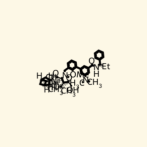 CC[C@@H](NC(=O)c1cc(-c2cccc(CN3O[C@@H](CO)[C@@H]([C@H](C)O)[C@H]3C(=O)N[C@H]3C[C@H]4C[C@@H]([C@@H]3C)C4(C)C)c2OC)cc(N(C)C)c1)c1ccccc1